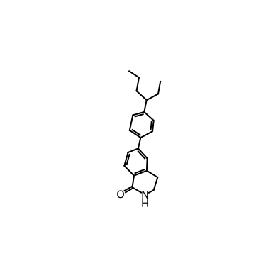 CCCC(CC)c1ccc(-c2ccc3c(c2)CCNC3=O)cc1